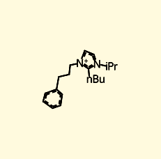 CCCCc1n(C(C)C)cc[n+]1CCCc1ccccc1